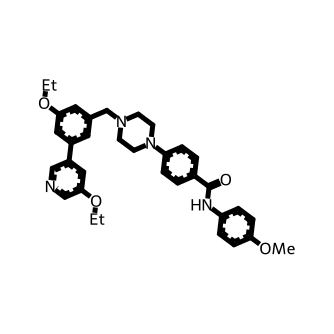 CCOc1cncc(-c2cc(CN3CCN(c4ccc(C(=O)Nc5ccc(OC)cc5)cc4)CC3)cc(OCC)c2)c1